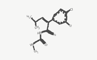 CNC(=O)NC(=O)C(=CC(C)C)c1ccc(Cl)c(Cl)c1